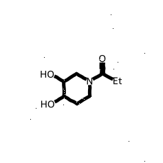 CCC(=O)N1CCC(O)C(O)C1